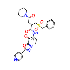 CC[C@H](NC(=O)C(CC(=O)N1CCCCC1)CS(=O)(=O)Cc1ccccc1)C(=O)c1nnc(-c2ccncc2)o1